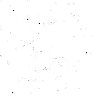 COCc1cc(CC(=O)OC(C(F)(F)F)C(F)(F)F)cc(COC)c1O